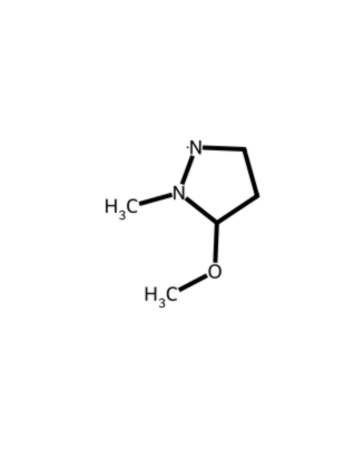 COC1CC[N]N1C